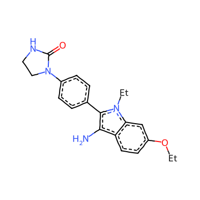 CCOc1ccc2c(N)c(-c3ccc(N4CCNC4=O)cc3)n(CC)c2c1